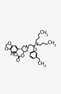 CCCCN(CCCC)C(=O)CN1C[C@H](c2ccc3c(c2)OCO3)[C@H](OC(=O)O)[C@H]1c1ccc(CC)cc1